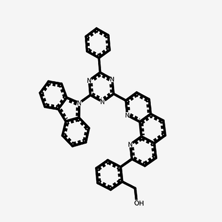 OCc1ccccc1-c1ccc2ccc3ccc(-c4nc(-c5ccccc5)nc(-n5c6ccccc6c6ccccc65)n4)nc3c2n1